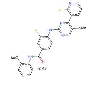 COc1cccc(OC)c1NC(=O)c1ccc(Nc2ncc(SC)c(-c3cccnc3F)n2)c(F)c1